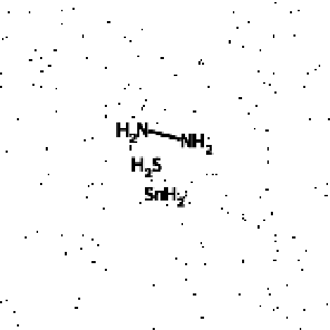 NN.S.[SnH2]